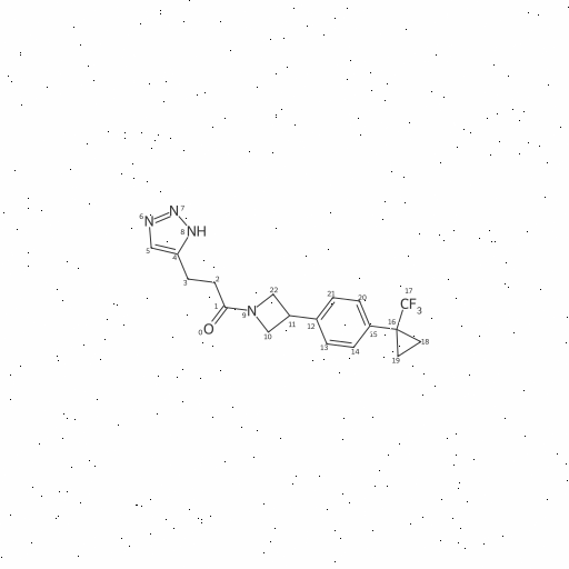 O=C(CCc1cnn[nH]1)N1CC(c2ccc(C3(C(F)(F)F)CC3)cc2)C1